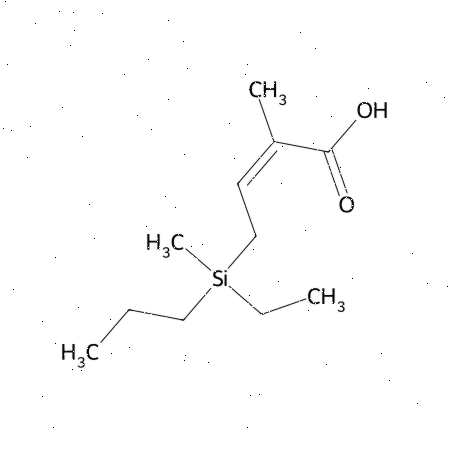 CCC[Si](C)(CC)CC=C(C)C(=O)O